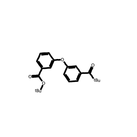 CC(C)(C)OC(=O)c1cccc(Oc2cccc(C(=O)C(C)(C)C)c2)c1